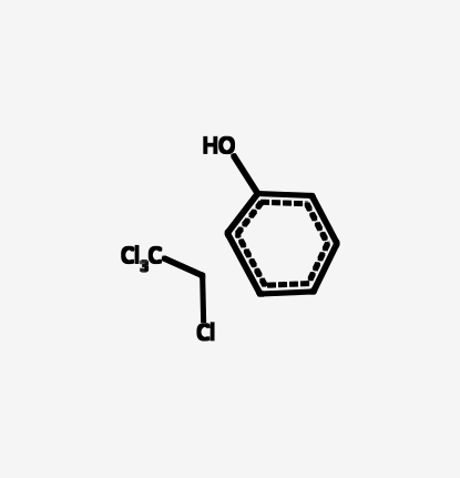 ClCC(Cl)(Cl)Cl.Oc1ccccc1